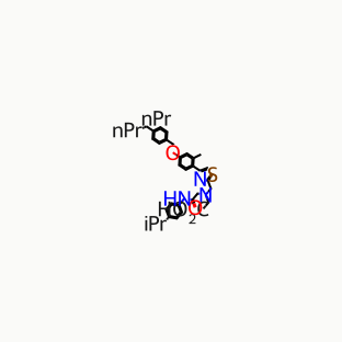 CCCC(CCC)c1ccc(COc2ccc(-c3csc(CN(CC(=O)O)CC(=O)Nc4ccc(C(C)C)cc4)n3)c(C)c2)cc1